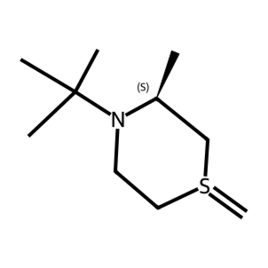 C=S1CCN(C(C)(C)C)[C@@H](C)C1